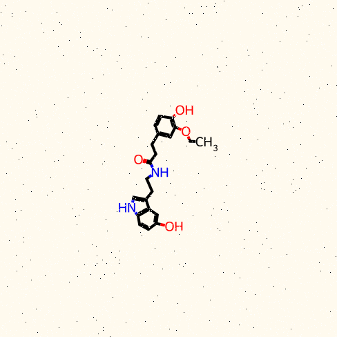 CCOc1cc(CCC(=O)NCCc2c[nH]c3ccc(O)cc23)ccc1O